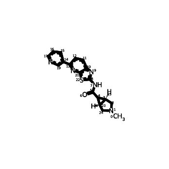 CN1C[C@@H]2C(C(=O)Nc3nc4ccc(-c5cccnc5)nc4s3)[C@@H]2C1